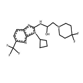 OC(CN1CCC(F)(F)CC1)Nc1nc2ccc(C(F)(F)F)nc2n1C1CCC1